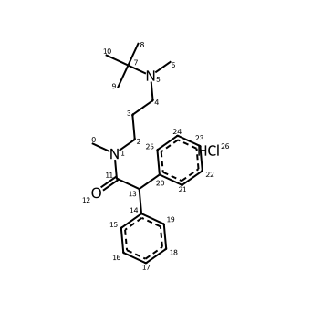 CN(CCCN(C)C(C)(C)C)C(=O)C(c1ccccc1)c1ccccc1.Cl